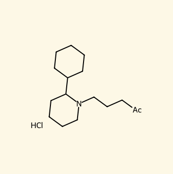 CC(=O)CCCN1CCCCC1C1CCCCC1.Cl